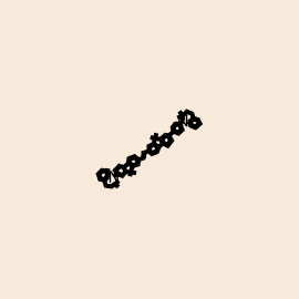 CC1(C)c2cc(/C=C/c3ccc4c(c3)C(C)(C)C3C=C(N5c6ccccc6CCC5(C)C)C=CC43)ccc2-c2ccc(-c3ccc(N4c5ccccc5CCC4(C)C)cc3)cc21